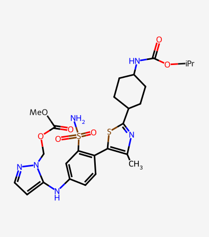 COC(=O)OCn1nccc1Nc1ccc(-c2sc(C3CCC(NC(=O)OC(C)C)CC3)nc2C)c(S(N)(=O)=O)c1